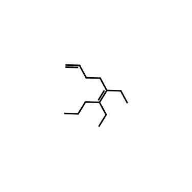 C=CCCC(CC)=C(CC)CCC